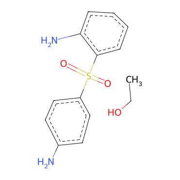 CCO.Nc1ccc(S(=O)(=O)c2ccccc2N)cc1